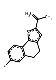 C=C(C)c1cc2c(s1)-c1ccc(F)cc1CC2